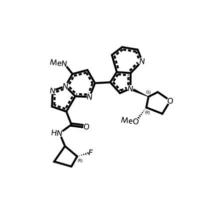 CNc1cc(-c2cn([C@H]3COC[C@@H]3OC)c3ncccc23)nc2c(C(=O)NC3CC[C@H]3F)cnn12